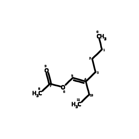 CCCCC(=COC(C)=O)CC